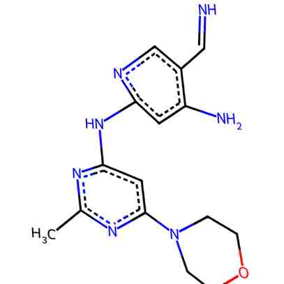 Cc1nc(Nc2cc(N)c(C=N)cn2)cc(N2CCOCC2)n1